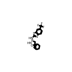 FC(F)(F)c1ccc2nc(NN3CC4(CC5CCC4CC5)ON3)sc2c1